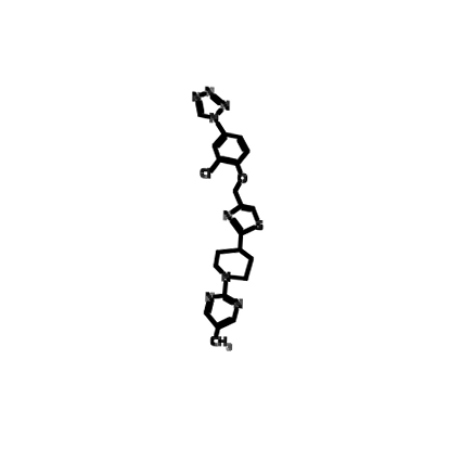 Cc1cnc(N2CCC(c3nc(COc4ccc(-n5cnnn5)cc4Cl)cs3)CC2)nc1